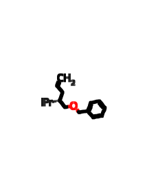 C=CC[C@H](COCc1ccccc1)C(C)C